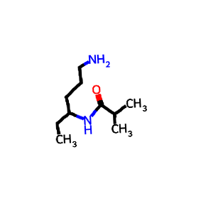 CCC(CCCN)NC(=O)C(C)C